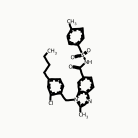 CCCCc1ccc(Cn2c(C)nc3ccc(C(=O)NS(=O)(=O)c4ccc(C)cc4)cc32)c(Cl)c1